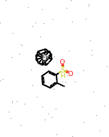 Cc1ccccc1[SH](=O)=O.[CH]12[CH]3[CH]4[CH]5[CH]1[Fe]23451678[CH]2[CH]1[CH]6[CH]7[CH]28